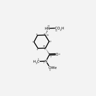 CON(C)C(=O)[C@@H]1CCC[C@H](NC(=O)O)C1